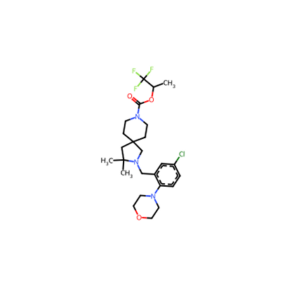 CC(OC(=O)N1CCC2(CC1)CN(Cc1cc(Cl)ccc1N1CCOCC1)C(C)(C)C2)C(F)(F)F